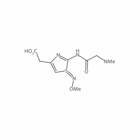 CNCC(=O)NC1=NC(CC(=O)O)=CS1=NOC